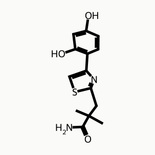 CC(C)(Cc1nc(-c2ccc(O)cc2O)cs1)C(N)=O